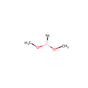 [3H]B(OC)OC